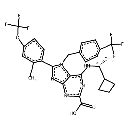 Cc1cc(OC(F)(F)F)ccc1-c1nc2nc(C(=O)O)nc(N[C@H](C)C3CCC3)c2n1Cc1ccc(C(F)(F)F)cc1